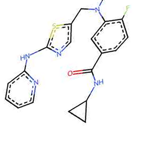 O=CN(Cc1cnc(Nc2ccccn2)s1)c1cc(C(=O)NC2CC2)ccc1F